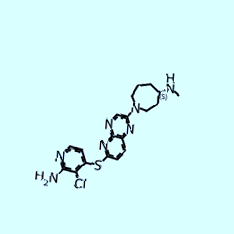 CN[C@H]1CCCN(c2cnc3nc(Sc4ccnc(N)c4Cl)ccc3n2)CC1